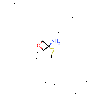 CSC1(N)COC1